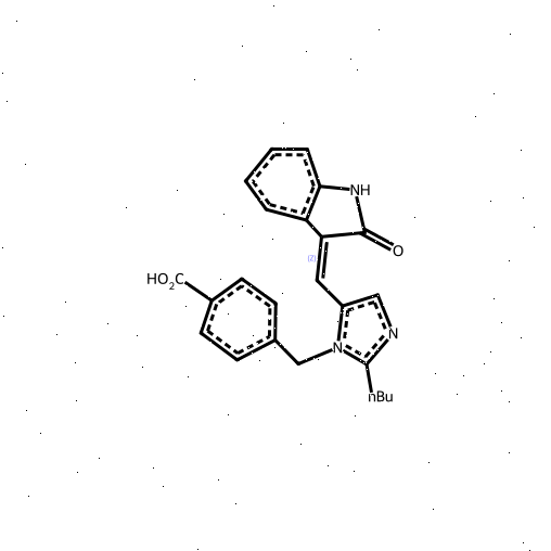 CCCCc1ncc(/C=C2\C(=O)Nc3ccccc32)n1Cc1ccc(C(=O)O)cc1